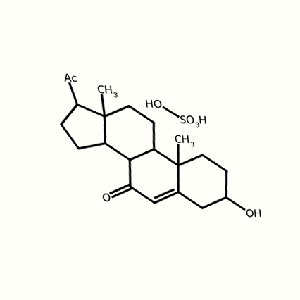 CC(=O)C1CCC2C3C(=O)C=C4CC(O)CCC4(C)C3CCC12C.O=S(=O)(O)O